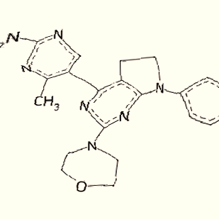 Cc1nc(N)ncc1-c1nc(N2CCOCC2)nc2c1CCN2c1cccnc1